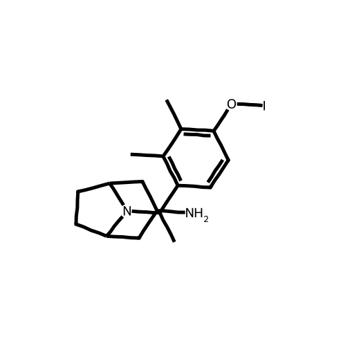 Cc1c(OI)ccc(C(C)N2C3CCC2CC(N)C3)c1C